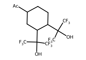 CC(=O)C1CCC(C(O)(C(F)(F)F)C(F)(F)F)C(C(O)(C(F)(F)F)C(F)(F)F)C1